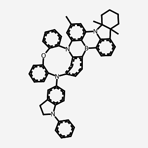 Cc1cc2c3c(c1)N1c4c(cccc4C4(C)CCCCC14C)B3c1ccc3cc1N2c1ccccc1Oc1ccccc1N3c1ccc2c(c1)CCN2c1ccccc1